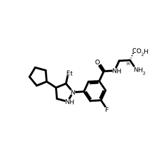 CCC1C(C2CCCC2)CNN1c1cc(F)cc(C(=O)NC[C@@H](N)C(=O)O)c1